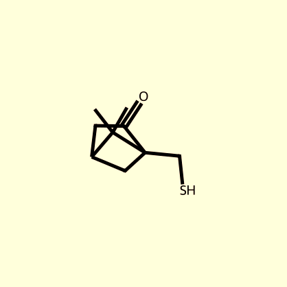 CC1(C)C2CC(=O)C1(CS)C2